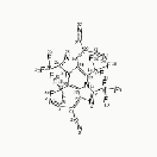 N#CC(C#N)=c1nc(C(F)(F)F)n2c(C(F)(F)F)c3c(=C(C#N)C#N)nc(C(F)(F)F)n3c(C(F)(F)F)c12